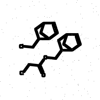 ClCC1CC2C=CC1C2.O=C(CCl)OCC1CC2C=CC1C2